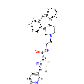 O=C(NCCN1CCN2c3ccccc3Cc3ccccc3C2C1)C1CSC(c2cccnc2)N1